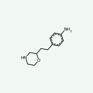 Nc1ccc(CCC2CNCCO2)cc1